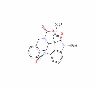 CCCCCN1C(=O)C(CCC(=O)OCC)(C2Cc3ccccc3CN2C(=O)OC(C)(C)C)c2c(N=C=O)cccc21